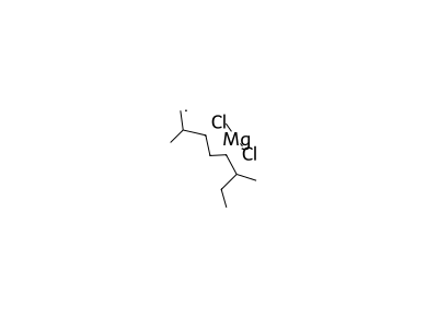 [CH2]C(C)CCCC(C)CC.[Cl][Mg][Cl]